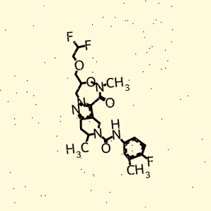 Cc1cc(NC(=O)N2Cc3c(nn4c3C(=O)N(C)OC(COCC(F)F)C4)CC2C)ccc1F